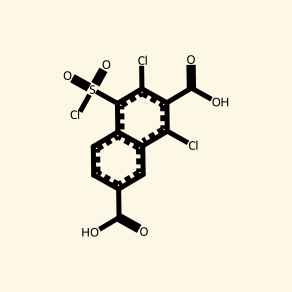 O=C(O)c1ccc2c(S(=O)(=O)Cl)c(Cl)c(C(=O)O)c(Cl)c2c1